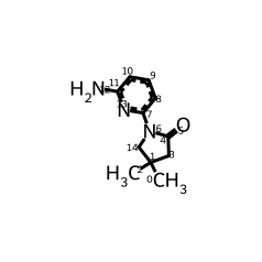 CC1(C)CC(=O)N(c2cccc(N)n2)C1